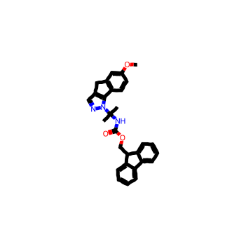 COc1ccc2c(c1)Cc1cnn(C(C)(C)NC(=O)OCC3c4ccccc4-c4ccccc43)c1-2